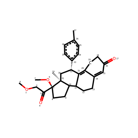 COCC(=O)[C@@]1(OC)CCC2C3CCC4=CC(=O)CCC4=C3[C@@H](c3ccc(C)cc3)C[C@@]21C